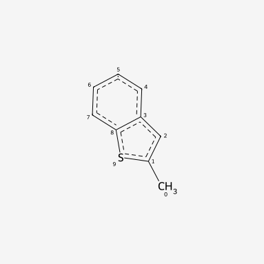 Cc1cc2c[c]ccc2s1